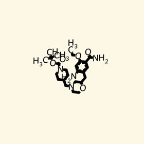 CCOc1cc(N)c(CC2CN(CC3CCN(C(=O)OC(C)(C)C)CC3)CCO2)cc1C(N)=O